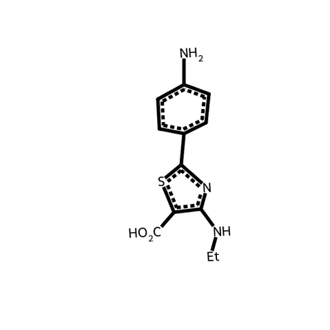 CCNc1nc(-c2ccc(N)cc2)sc1C(=O)O